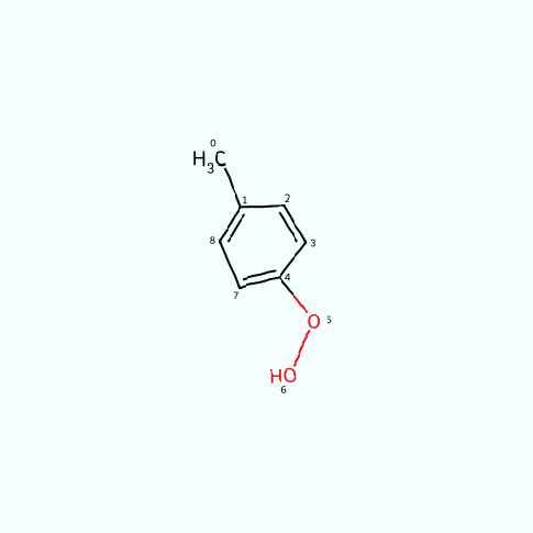 Cc1ccc(OO)cc1